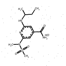 CCC(C)Nc1cc(C(N)=O)cc(N(C)S(C)(=O)=O)n1.Cl